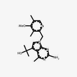 COc1c(C)cnc(Cn2cc(C(C)(C)O)c3c(C)nc(N)nc32)c1C